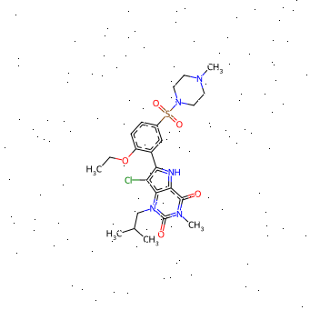 CCOc1ccc(S(=O)(=O)N2CCN(C)CC2)cc1-c1[nH]c2c(=O)n(C)c(=O)n(CC(C)C)c2c1Cl